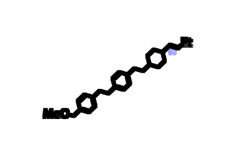 CC/C=C/C1CCC(CCc2ccc(CCc3ccc(COC)cc3)cc2)CC1